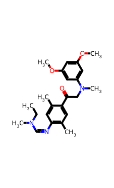 CCN(C)/C=N\c1cc(C)c(C(=O)CN(C)c2cc(OC)cc(OC)c2)cc1C